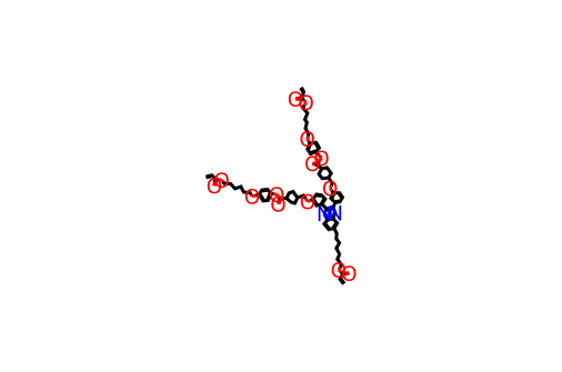 C=CC(=O)OCCCCCCCc1ccc2nc(-c3cccc(OCC4CCC(C(=O)Oc5ccc(OCCCCCCOC(=O)C=C)cc5)CC4)c3)c(-c3cccc(OCC4CCC(C(=O)Oc5ccc(OCCCCCCOC(=O)C=C)cc5)CC4)c3)nc2c1